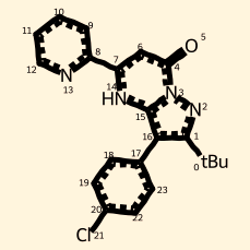 CC(C)(C)c1nn2c(=O)cc(-c3ccccn3)[nH]c2c1-c1ccc(Cl)cc1